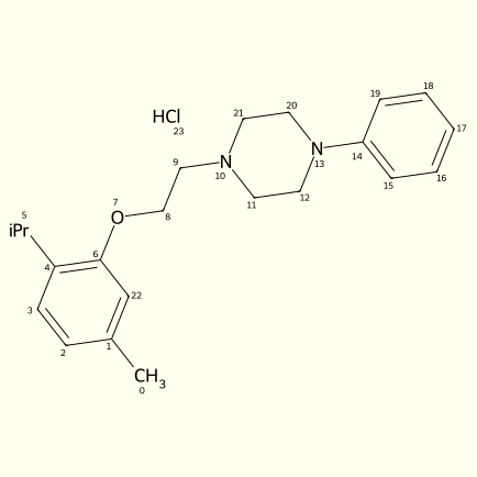 Cc1ccc(C(C)C)c(OCCN2CCN(c3ccccc3)CC2)c1.Cl